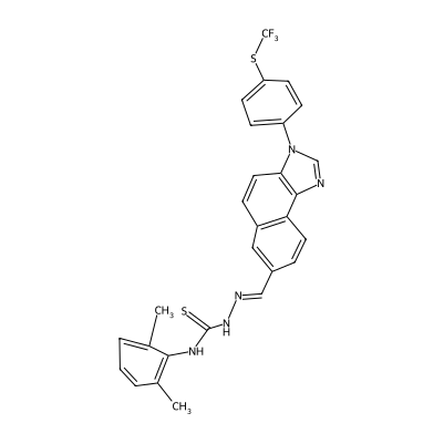 Cc1cccc(C)c1NC(=S)NN=Cc1ccc2c(ccc3c2ncn3-c2ccc(SC(F)(F)F)cc2)c1